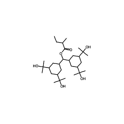 CCC(C)C(=O)OC(C1CC(C(C)(C)O)CC(C(C)(C)O)C1)C1CC(C(C)(C)O)CC(C(C)(C)O)C1